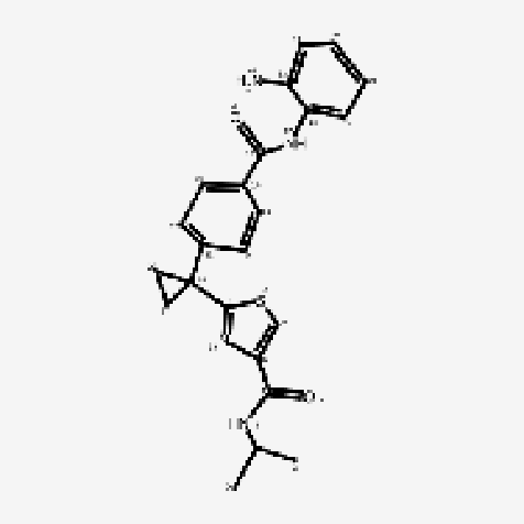 CC(C)NC(=O)c1csc(C2(c3ccc(C(=O)Nc4ccccc4N)cc3)CC2)n1